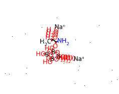 C=CC(N)=O.O.O.O.O.O.O.O.O.OB1O[B-]2(O)OB(O)O[B-](O)(O1)O2.[Na+].[Na+]